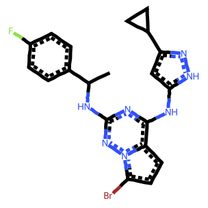 CC(Nc1nc(Nc2cc(C3CC3)n[nH]2)c2ccc(Br)n2n1)c1ccc(F)cc1